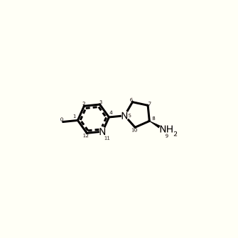 Cc1ccc(N2CC[C@@H](N)C2)nc1